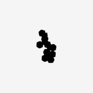 c1ccc(-n2c3cc4c(cc3c3cc5c6ccccc6n(-c6ccc7c(c6)C(c6ccccc6)(c6ccccc6)c6ccccc6-7)c5cc32)sc2ccccc24)cc1